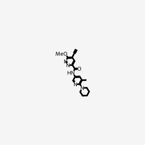 C#Cc1cc(C(=O)Nc2cnc(N3CCCCC3)c(C)c2)nnc1OC